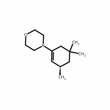 C[C@H]1C=C(N2CCOCC2)CC(C)(C)C1